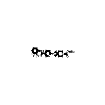 CC(C)(C)OC(=O)N1CCC2(CC1)CN(c1ccc(C(=O)Nc3ccccc3N)cn1)C2